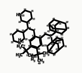 CC(C)(C)c1cc(CP(C2CCCNC2)C2CCCNC2)c(CP(C23CC4CC(CC(C4)C2)C3)C23CC4CC(CC(C4)C2)C3)cc1C(C)(C)C